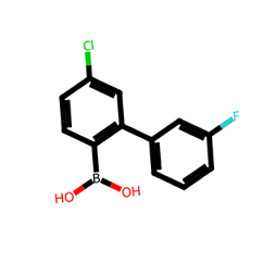 OB(O)c1ccc(Cl)cc1-c1cccc(F)c1